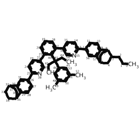 CCCC1CC2CCC1c1ccc(-c3ccc(-c4cccc(-c5ccc(-c6ccc7c(c6)C6CCC7CC6)nc5)c4C(CC)(CC)c4cc(C)cc(C)c4)cn3)cc12